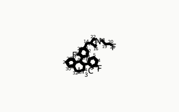 Cc1c(F)cccc1C1=C(c2ccc(CC3CN(CCCF)C3)cc2F)c2ccccc2CCC1